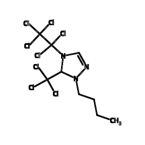 CCCCN1N=CN(C(Cl)(Cl)C(Cl)(Cl)Cl)C1C(Cl)(Cl)Cl